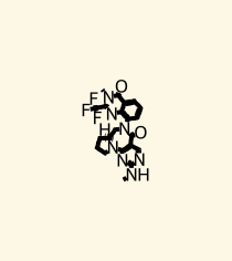 CNc1ncc2c(n1)N1CCC[C@H]1CN(c1cccc3c(=O)n(C)c(C(F)(F)F)nc13)C2=O